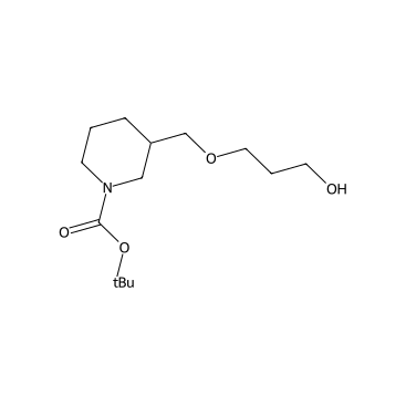 CC(C)(C)OC(=O)N1CCCC(COCCCO)C1